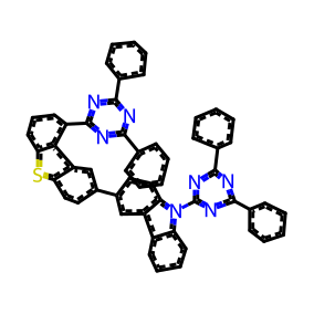 c1ccc(-c2nc(-c3ccccc3)nc(-c3cccc4sc5ccc(-c6ccc7c(c6)c6ccccc6n7-c6nc(-c7ccccc7)nc(-c7ccccc7)n6)cc5c34)n2)cc1